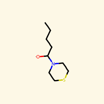 CCCCC([O])N1CCSCC1